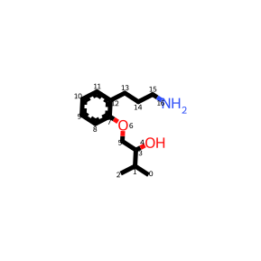 CC(C)C(O)COc1ccccc1CCCN